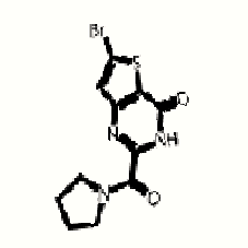 O=C(c1nc2cc(Br)sc2c(=O)[nH]1)N1CCCC1